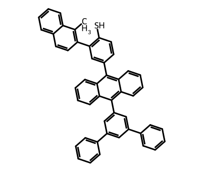 Cc1c(-c2cc(-c3c4ccccc4c(-c4cc(-c5ccccc5)cc(-c5ccccc5)c4)c4ccccc34)ccc2S)ccc2ccccc12